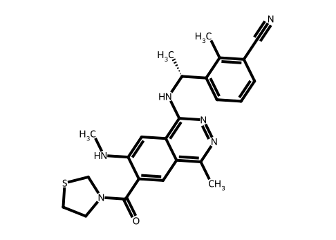 CNc1cc2c(N[C@H](C)c3cccc(C#N)c3C)nnc(C)c2cc1C(=O)N1CCSC1